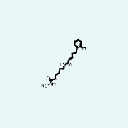 O=C(/C=C/C=C/c1ccccc1Cl)NCCCCCC(=O)NO